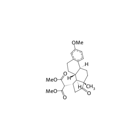 COC(=O)C(C(=O)OC)[C@H]1CC(=O)[C@@]2(C)CC[C@@H]3c4ccc(OC)cc4CC[C@H]3[C@H]12